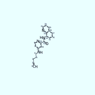 C#CCCCNc1ccnc(C(=O)Nc2cccc3cccnc23)c1